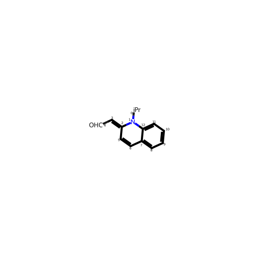 CC(C)N1/C(=C/C=O)C=Cc2ccccc21